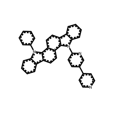 c1ccc(-n2c3ccccc3c3ccc4c(ccc5c6ccccc6n(-c6ccc(-c7ccncc7)cn6)c54)c32)cc1